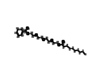 CCCCCCCCCC(=O)OCCOCCOCCOCCOC(=O)c1ccccc1